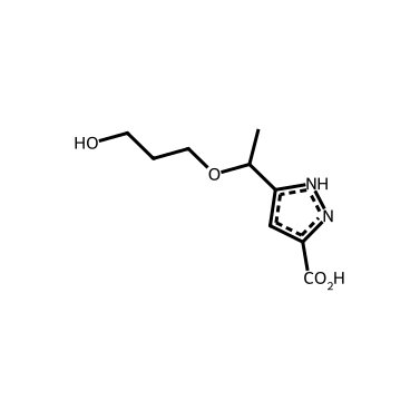 CC(OCCCO)c1cc(C(=O)O)n[nH]1